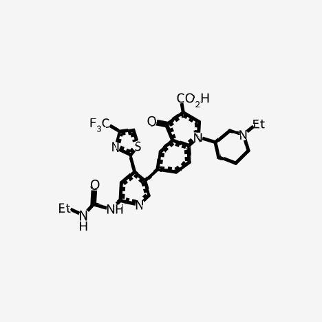 CCNC(=O)Nc1cc(-c2nc(C(F)(F)F)cs2)c(-c2ccc3c(c2)c(=O)c(C(=O)O)cn3C2CCCN(CC)C2)cn1